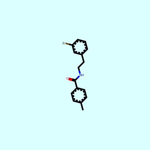 Cc1ccc(C(=O)NCCc2cccc(Br)c2)cc1